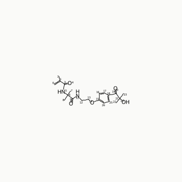 C=C(C)C(=O)NC(C)(C)C(=O)NCCOc1ccc(C(=O)C(C)(C)O)cc1